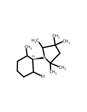 CCC1CCCC(C)[C@H]1N1C(C)C(C)(C)CC1(C)C